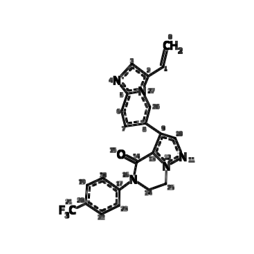 C=Cc1cnc2ccc(-c3cnn4c3C(=O)N(c3ccc(C(F)(F)F)cc3)CC4)cn12